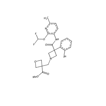 COC(=O)C1(CN2CC(C(=O)Nc3ccc(C)nc3OC(F)F)(c3ccccc3C(C)C)C2)COC1